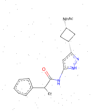 CCC(C(=O)Nc1cc([C@H]2C[C@@H](NC(C)=O)C2)n[nH]1)c1ccccc1